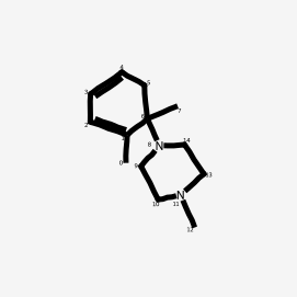 CC1=CC=[C]CC1(C)N1CCN(C)CC1